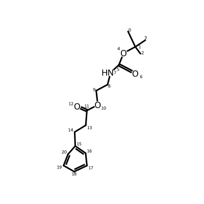 CC(C)(C)OC(=O)NCCOC(=O)CCc1ccccc1